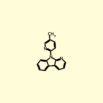 Cc1ccc(-n2c3ccccc3c3cccnc32)nc1